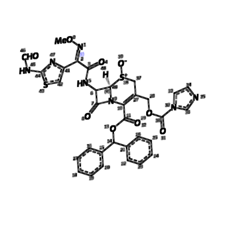 CO/N=C(/C(=O)NC1C(=O)N2C(C(=O)OC(c3ccccc3)c3ccccc3)=C(COC(=O)n3ccnc3)C[S+]([O-])[C@H]12)c1csc(NC=O)n1